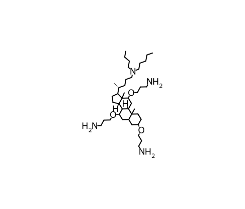 CCCCCN(CCCC)CCC[C@@H](C)C1CC[C@H]2C3[C@H](OCCCN)CC4C[C@H](OCCCN)CCC4(C)[C@H]3C[C@H](OCCCN)C12C